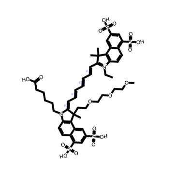 CC[N+]1=C(/C=C/C=C/C=C/C=C2/N(CCCCCC(=O)O)c3ccc4c(S(=O)(=O)O)cc(S(=O)(=O)O)cc4c3C2(C)CCOCCOCCOC)C(C)(C)c2c1ccc1c(S(=O)(=O)O)cc(S(=O)(=O)O)cc21